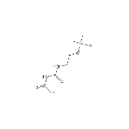 C=C(S)NC(=O)NCCO[Si](C)(C)C(C)(C)C